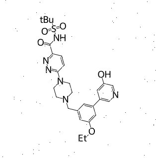 CCOc1cc(CN2CCN(c3ccc(C(=O)NS(=O)(=O)C(C)(C)C)nn3)CC2)cc(-c2cncc(O)c2)c1